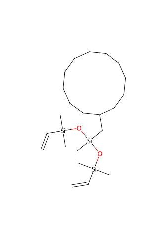 C=C[Si](C)(C)O[Si](C)(CC1CCCCCCCCCCC1)O[Si](C)(C)C=C